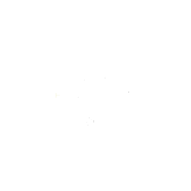 CC(=O)c1ccc(S)c(C)c1.[Zn]